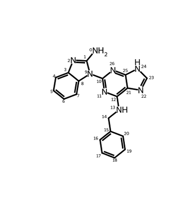 Nc1nc2ccccc2n1-c1nc(NCc2ccccc2)c2nc[nH]c2n1